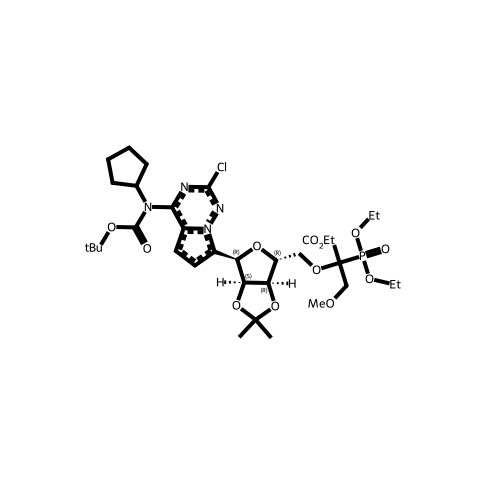 CCOC(=O)C(COC)(OC[C@H]1O[C@H](c2ccc3c(N(C(=O)OC(C)(C)C)C4CCCC4)nc(Cl)nn23)[C@@H]2OC(C)(C)O[C@@H]21)P(=O)(OCC)OCC